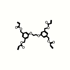 C=CC(=O)OCc1cc(COC(=O)C=C)cc(OCCOc2cc(COC(=O)C=C)cc(COC(=O)C=C)c2)c1